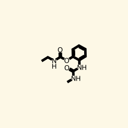 CCNC(=O)Oc1ccccc1NC(=O)NC